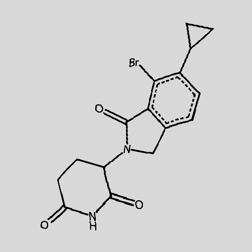 O=C1CCC(N2Cc3ccc(C4CC4)c(Br)c3C2=O)C(=O)N1